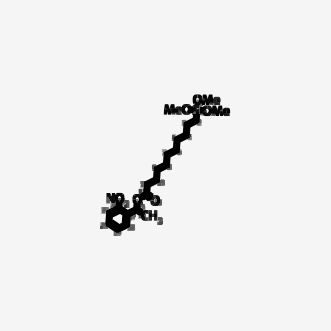 CO[Si](CCCCCCCCCCC(=O)OC(C)c1ccccc1[N+](=O)[O-])(OC)OC